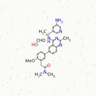 COc1ccc(-c2ccc3nc(C)nc(N[C@H](C)c4cncc(N)c4)c3c2)cc1CC(=O)N(C)C.O=CO